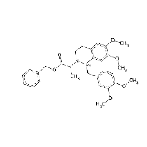 COc1ccc(C[C@@H]2c3cc(OC)c(OC)cc3CCN2C(C)C(=O)OCc2ccccc2)cc1OC